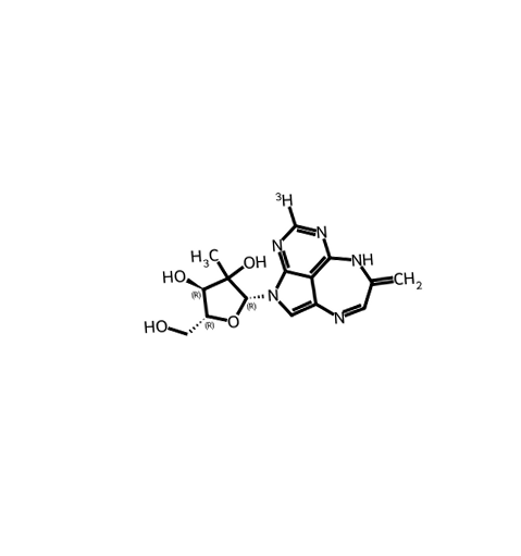 [3H]c1nc2[nH]c(=C)cnc3cn([C@@H]4O[C@H](CO)[C@@H](O)C4(C)O)c(n1)c32